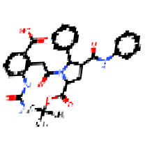 CC(C)(C)OC(=O)C1CC(C(=O)Nc2ccccc2)C(c2ccccc2)N1C(=O)Cc1c(NC(N)=O)cccc1C(=O)O